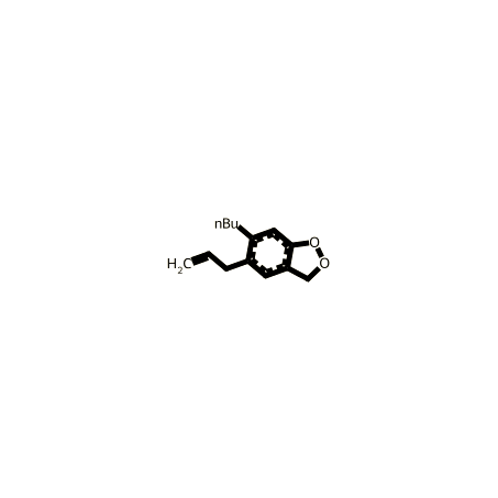 C=CCc1cc2c(cc1CCCC)OOC2